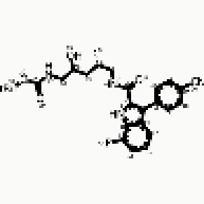 C[C@H](CNC(=O)c1[nH]c2c(F)cccc2c1-c1ccc(C#N)cc1)CC(O)CNC(=O)OC(C)(C)C